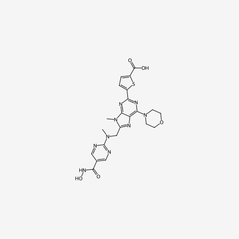 CN(Cc1nc2c(N3CCOCC3)nc(-c3ccc(C(=O)O)s3)nc2n1C)c1ncc(C(=O)NO)cn1